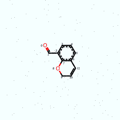 O=Cc1cccc2c1OCC=C2